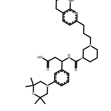 CC1(C)CN(c2cccc(C(CC(=O)O)NC(=O)[C@@H]3CCCN(CCCc4ccc5c(n4)NCCC5)C3)c2)CC(C)(C)O1